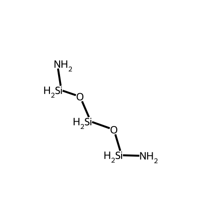 N[SiH2]O[SiH2]O[SiH2]N